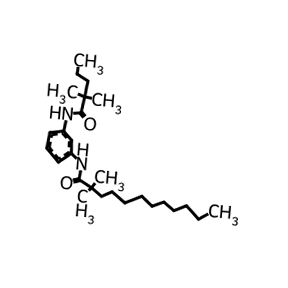 CCCCCCCCCCC(C)(C)C(=O)Nc1cccc(NC(=O)C(C)(C)CCC)c1